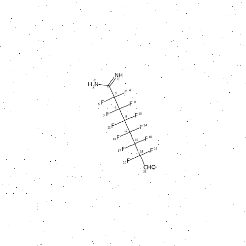 N=C(N)C(F)(F)C(F)(F)C(F)(F)C(F)(F)C(F)(F)C(F)(F)[C]=O